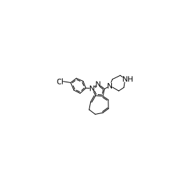 Clc1ccc(-n2nc(N3CCNCC3)c3/c2=C\CC/C=C\C=3)cc1